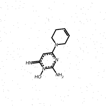 N=c1cc(N2CC=CCC2)nc(N)n1O